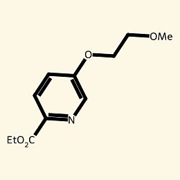 CCOC(=O)c1ccc(OCCOC)cn1